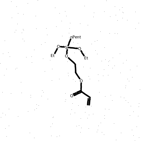 C=CC(=O)OCCO[Si](CCCCC)(OCC)OCC